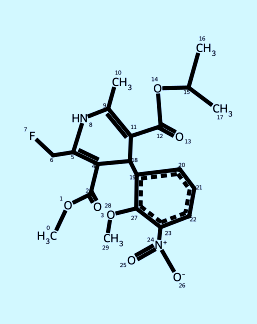 COC(=O)C1=C(CF)NC(C)=C(C(=O)OC(C)C)C1c1cccc([N+](=O)[O-])c1OC